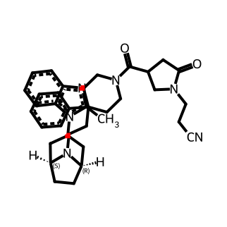 Cc1nc2ccccc2n1C1C[C@H]2CC[C@@H](C1)N2CCC1(c2ccccc2)CCN(C(=O)C2CC(=O)N(CCC#N)C2)CC1